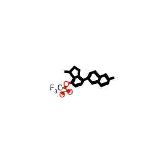 Cc1ccc2cc(-c3ccc(OS(=O)(=O)C(F)(F)F)c4c3CCC4C)ccc2c1